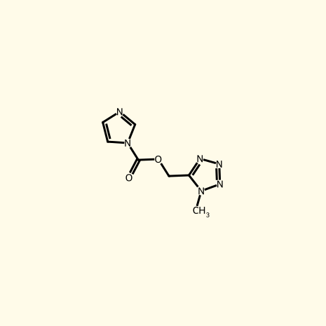 Cn1nnnc1COC(=O)n1ccnc1